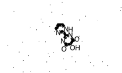 O=C1N=C(c2ncccn2)NC(=O)C1O